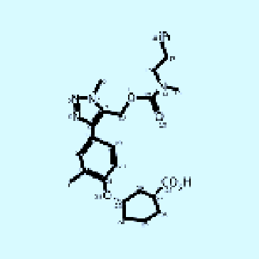 Cc1cc(-c2nnn(C)c2COC(=O)N(C)CCC(C)C)ccc1O[C@H]1CCC[C@H](C(=O)O)C1